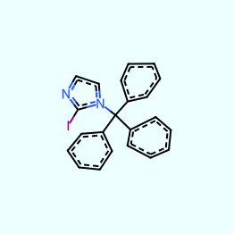 Ic1nccn1C(c1ccccc1)(c1ccccc1)c1ccccc1